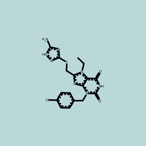 CCn1c(CSc2n[nH]c(N)n2)nc2c1c(=O)[nH]c(=O)n2Cc1ccc(Cl)cc1